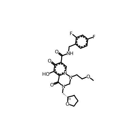 COCCN1CN(C[C@@H]2CCCO2)C(=O)c2c(O)c(=O)c(C(=O)NCc3ccc(F)cc3F)cn21